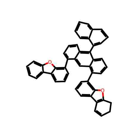 C1=Cc2c(oc3c(-c4cccc5c(-c6cccc7ccccc67)c6cccc(-c7cccc8c7oc7ccccc78)c6cc45)cccc23)CC1